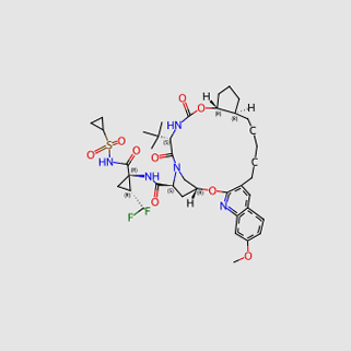 COc1ccc2cc3c(nc2c1)O[C@@H]1C[C@@H](C(=O)N[C@]2(C(=O)NS(=O)(=O)C4CC4)C[C@H]2C(F)F)N(C1)C(=O)[C@H](C(C)(C)C)NC(=O)O[C@@H]1CCC[C@H]1CCCCC3